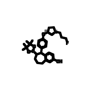 CC1(C)OB(C2CCCc3cc(O)ccc3C2c2ccc(O[C@H]3CCN(CCCF)C3)cc2)OC1(C)C